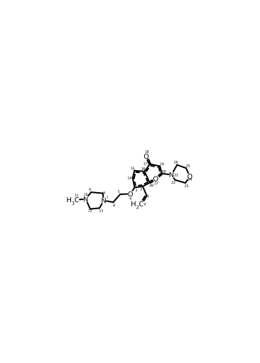 C=Cc1c(OCCN2CCN(C)CC2)ccc2c(=O)cc(N3CCOCC3)oc12